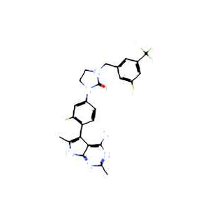 Cc1nc(N)c2c(-c3ccc(N4CCN(Cc5cc(F)cc(C(F)(F)F)c5)C4=O)cc3F)c(C)[nH]c2n1